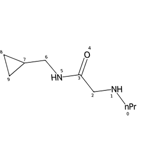 CCCNCC(=O)NCC1CC1